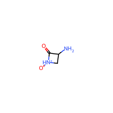 NC1C[NH+]([O-])C1=O